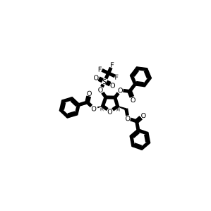 O=C(OC[C@H]1O[C@H](OC(=O)c2ccccc2)C(OS(=O)(=O)C(F)(F)F)C1OC(=O)c1ccccc1)c1ccccc1